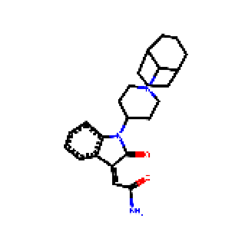 NC(=O)/C=C1\C(=O)N(C2CCN(C3C4CCCC3CCC4)CC2)c2ccccc21